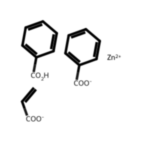 C=CC(=O)[O-].O=C(O)c1ccccc1.O=C([O-])c1ccccc1.[Zn+2]